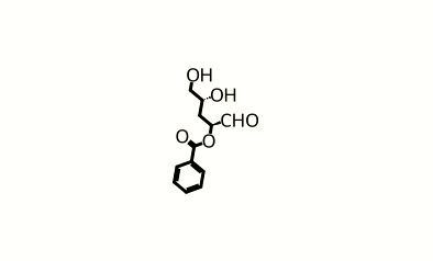 O=C[C@H](C[C@@H](O)CO)OC(=O)c1ccccc1